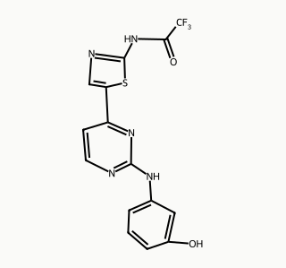 O=C(Nc1ncc(-c2ccnc(Nc3cccc(O)c3)n2)s1)C(F)(F)F